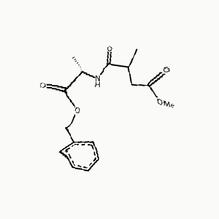 COC(=O)CC(C)C(=O)N[C@@H](C)C(=O)OCc1ccccc1